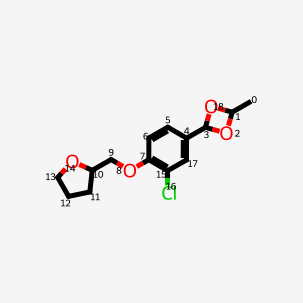 CC1OC(c2ccc(OCC3CCCO3)c(Cl)c2)O1